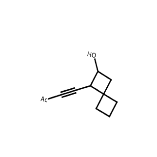 CC(=O)C#CC1C(O)CC12CCC2